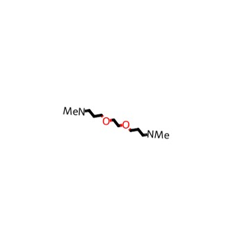 CNCCCOCCOCCCNC